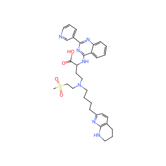 CS(=O)(=O)CCN(CCCCc1ccc2c(n1)NCCC2)CCC(Nc1nc(-c2cccnc2)nc2ccccc12)C(=O)O